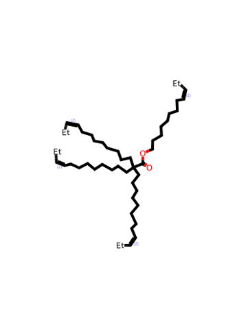 CC/C=C\CCCCCCCCOC(=O)C(CCCCCCCC/C=C\CC)(CCCCCCCC/C=C\CC)CCCCCCCC/C=C\CC